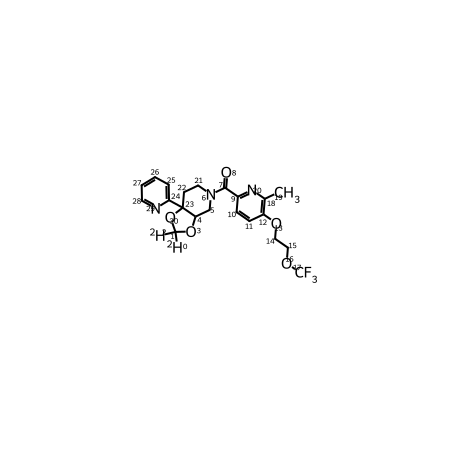 [2H]C1([2H])OC2CN(C(=O)c3ccc(OCCOC(F)(F)F)c(C)n3)CCC2(c2ccccn2)O1